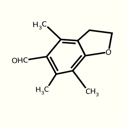 Cc1c(C)c2c(c(C)c1C=O)CCO2